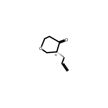 C=CC[C@@H]1COCCC1=O